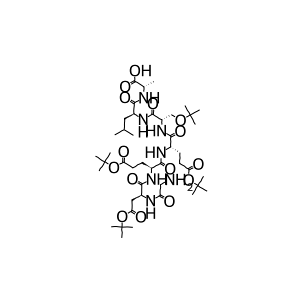 CC(C)C[C@H](NC(=O)[C@H](COC(C)(C)C)NC(=O)[C@H](CCC(=O)OC(C)(C)C)NC(=O)[C@H](CCC(=O)OC(C)(C)C)NC(=O)[C@H](CC(=O)OC(C)(C)C)NC(=O)CN)C(=O)N[C@@H](C)C(=O)O